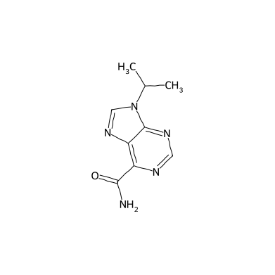 CC(C)n1cnc2c(C(N)=O)ncnc21